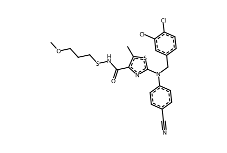 COCCCSNC(=O)c1nc(N(Cc2ccc(Cl)c(Cl)c2)c2ccc(C#N)cc2)sc1C